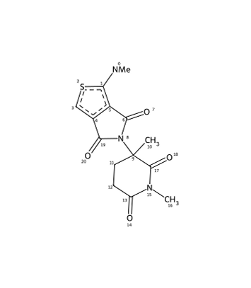 CNc1scc2c1C(=O)N(C1(C)CCC(=O)N(C)C1=O)C2=O